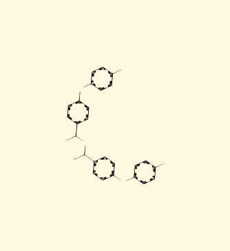 Clc1ccc(Oc2ccc(C(Cl)SC(Cl)c3ccc(Oc4ccc(Cl)cc4)cc3)cc2)cc1